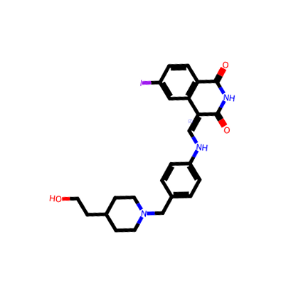 O=C1NC(=O)c2ccc(I)cc2/C1=C/Nc1ccc(CN2CCC(CCO)CC2)cc1